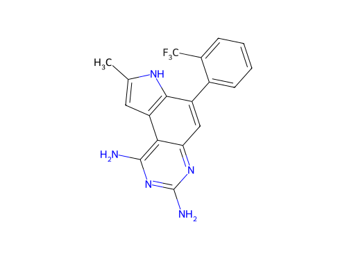 Cc1cc2c([nH]1)c(-c1ccccc1C(F)(F)F)cc1nc(N)nc(N)c12